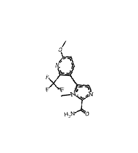 COc1ccc(-c2cnc(C(N)=O)n2C)c(C(F)(F)F)n1